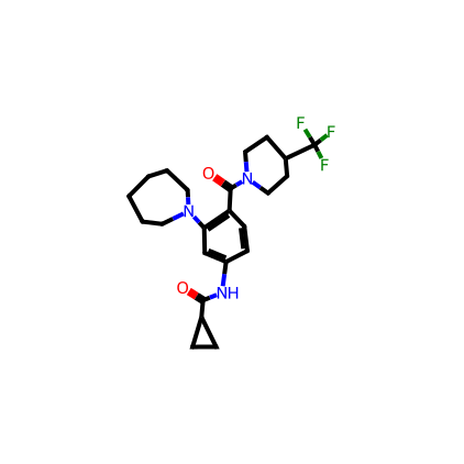 O=C(Nc1ccc(C(=O)N2CCC(C(F)(F)F)CC2)c(N2CCCCCC2)c1)C1CC1